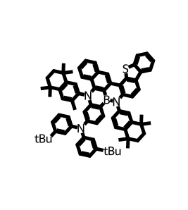 Cc1cc2c(cc1N1c3cc(N(c4cccc(C(C)(C)C)c4)c4cccc(C(C)(C)C)c4)ccc3B3c4c(cc5ccccc5c41)-c1c(ccc4c1sc1ccccc14)N3c1ccc3c(c1)C(C)(C)CCC3(C)C)C(C)(C)CCC2(C)C